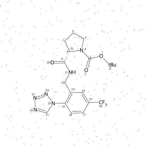 CC(C)(C)OC(=O)N1CCC[C@H]1C(=O)NCc1cc(C(F)(F)F)ccc1-n1cnnn1